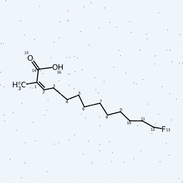 CC(=CCCCCCCCCCCF)C(=O)O